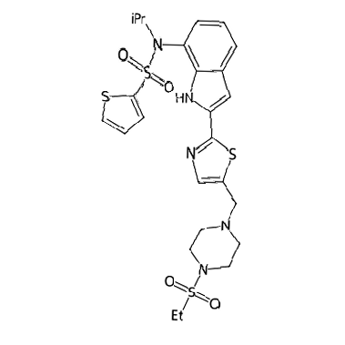 CCS(=O)(=O)N1CCN(Cc2cnc(-c3cc4cccc(N(C(C)C)S(=O)(=O)c5cccs5)c4[nH]3)s2)CC1